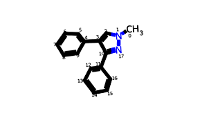 Cn1cc(-c2ccccc2)c(-c2ccccc2)n1